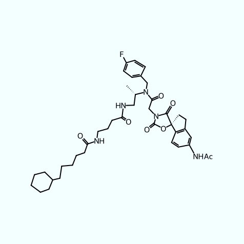 CC(=O)Nc1ccc2c(c1)CC[C@@]21OC(=O)N(CC(=O)N(Cc2ccc(F)cc2)[C@@H](C)CNC(=O)CCCNC(=O)CCCCCC2CCCCC2)C1=O